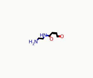 NCCNC(=O)/C=C\C=O